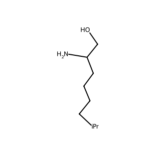 CC(C)CCCCC(N)CO